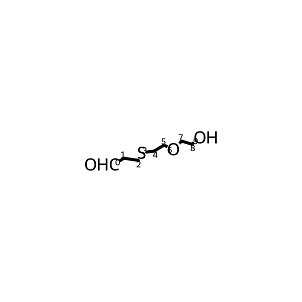 O=CCCSCCOCCO